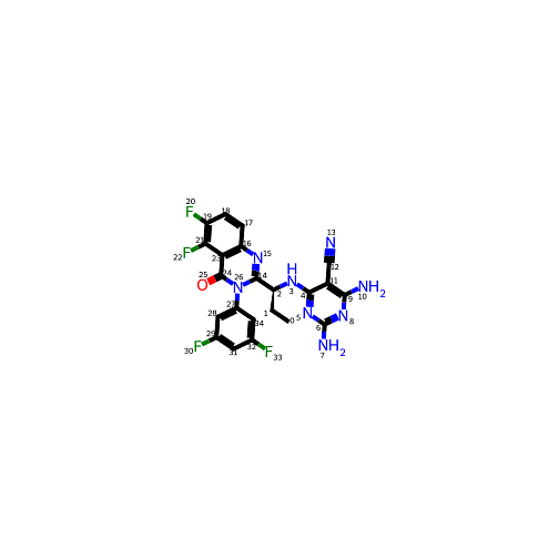 CC[C@H](Nc1nc(N)nc(N)c1C#N)c1nc2ccc(F)c(F)c2c(=O)n1-c1cc(F)cc(F)c1